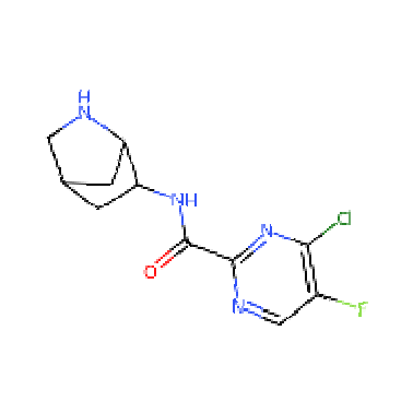 O=C(NC1CC2CNC1C2)c1ncc(F)c(Cl)n1